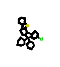 Clc1ccc2c(c1)C(C1=CC=CCC1)(C1C=CC=CC1)c1ccc3c(sc4ccccc43)c1-2